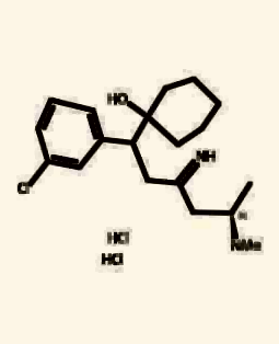 CN[C@H](C)CC(=N)CC(c1cccc(Cl)c1)C1(O)CCCCC1.Cl.Cl